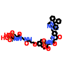 COC(=O)[C@H](CNC(=O)C1CC(=O)c2ccc(CNc3nccn3C(c3ccccc3)(c3ccccc3)c3ccccc3)cc2N1C)NS(=O)(=O)c1c(C)cc(OCCCC(=O)NCCNC(=O)[C@H](CS(=O)(=O)O)N[C@H](C)CS(=O)(=O)O)cc1C